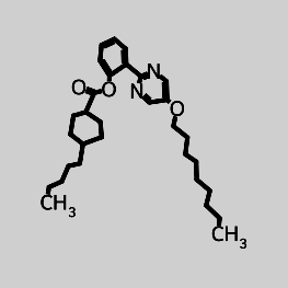 CCCCCCCCCOc1cnc(-c2ccccc2OC(=O)C2CCC(CCCCC)CC2)nc1